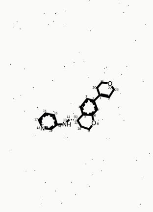 C1=C(c2ccc3c(c2)OCC[C@@H]3CNc2cccnc2)CCOC1